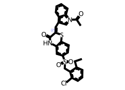 CCc1cccc(Cl)c1CS(=O)(=O)c1ccc2c(c1)NC(=O)/C(=C/c1cn(C(C)=O)c3ccccc13)S2